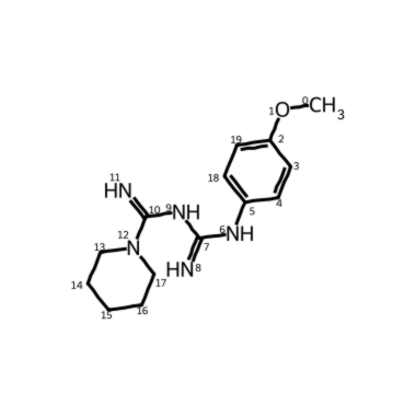 COc1ccc(NC(=N)NC(=N)N2CCCCC2)cc1